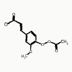 COc1cc(C=CC(=O)Cl)ccc1OOC(C)=O